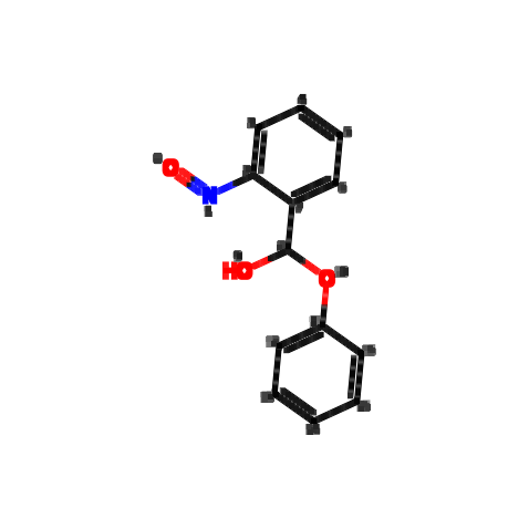 O=Nc1ccccc1C(O)Oc1ccccc1